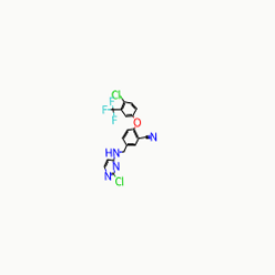 N#Cc1cc(CNc2ccnc(Cl)n2)ccc1Oc1ccc(Cl)c(C(F)(F)F)c1